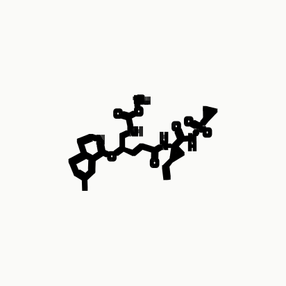 C=C[C@@H]1C[C@]1(NC(=O)CC[C@H](CNC(=O)OC(C)(C)C)Oc1nccc2ccc(C)cc12)C(=O)NS(=O)(=O)C1CC1